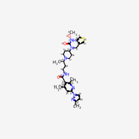 CONC(=O)N(Cc1ccsc1)C1CCN([C@H](C)CCNC(=O)c2c(C)cc(-n3ccc(C)n3)nc2C)CC1